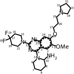 COc1cc2c(N3CCCCC3N)nc(N3CCC(F)(F)CC3)nc2cc1OCCCN1CCCC1